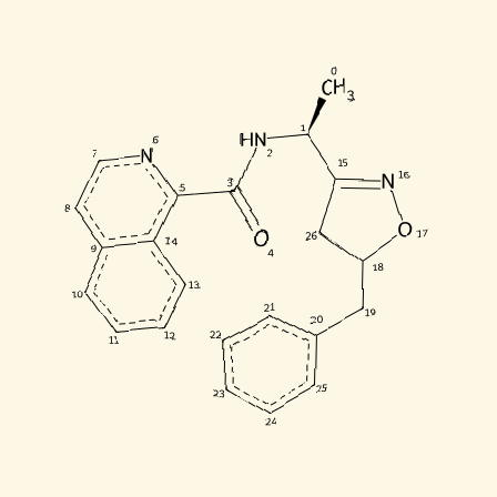 C[C@H](NC(=O)c1nccc2ccccc12)C1=NOC(Cc2ccccc2)C1